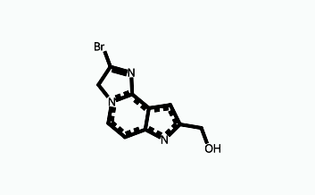 OCc1cc2c3n(ccc-2n1)CC(Br)=N3